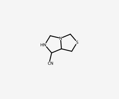 N#CC1NCN2CSCC12